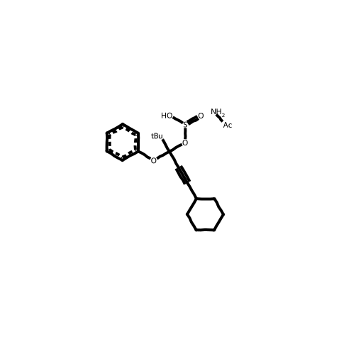 CC(C)(C)C(C#CC1CCCCC1)(Oc1ccccc1)OS(=O)O.CC(N)=O